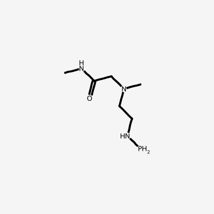 CNC(=O)CN(C)CCNP